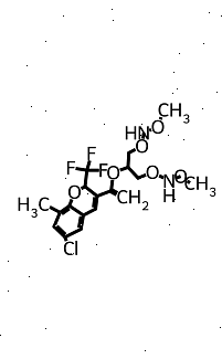 C=C(OC(CONOC)CONOC)C1=Cc2cc(Cl)cc(C)c2OC1C(F)(F)F